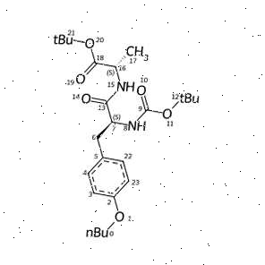 CCCCOc1ccc(C[C@H](NC(=O)OC(C)(C)C)C(=O)N[C@@H](C)C(=O)OC(C)(C)C)cc1